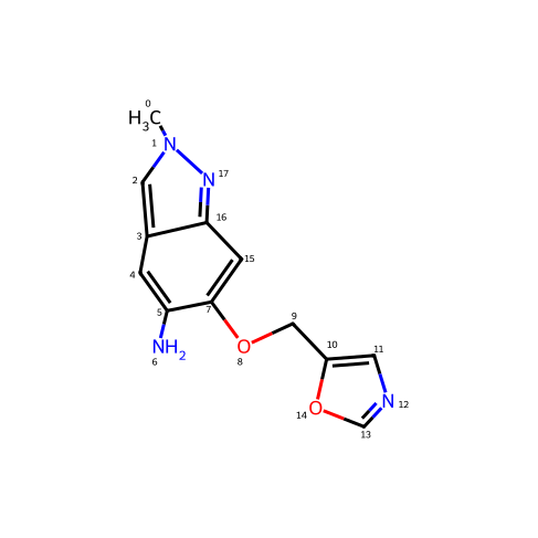 Cn1cc2cc(N)c(OCc3cnco3)cc2n1